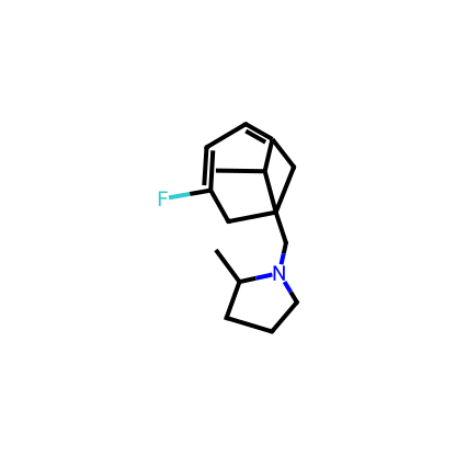 CC1CCCN1CC12CC(F)=CC=C(C1)C2C